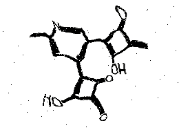 C=C1C(=O)C(c2cnc(C)cc2-c2c(O)c(=O)c2=O)=C1O